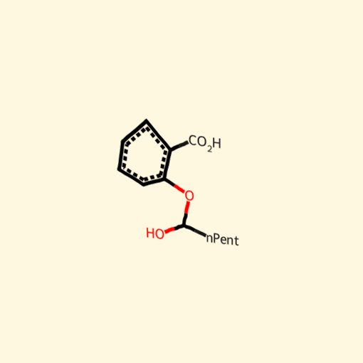 CCCCCC(O)Oc1ccccc1C(=O)O